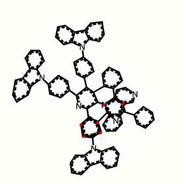 c1ccc(-c2nc(-c3ccccc3)nc(-c3ccccc3-c3c(-c4ccc(-n5c6ccccc6c6ccccc65)cc4)c(-c4ccc(-n5c6ccccc6c6ccccc65)cc4)nc(-c4ccc(-n5c6ccccc6c6ccccc65)cc4)c3-n3c4ccccc4c4cnccc43)n2)cc1